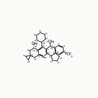 O[C@@H](c1ccc(C(F)(F)F)cc1)c1c(C2CCCC2)nc2c(c1C1CCCCC1)[C@@H](O)CC1(CC1)C2